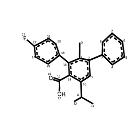 Cc1c(-c2ccccc2)cc(C(C)C)c(C(=O)O)c1-c1ccc(F)cc1